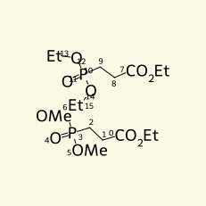 CCOC(=O)CCP(=O)(OC)OC.CCOC(=O)CCP(=O)(OCC)OCC